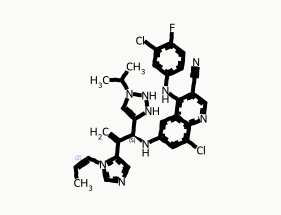 C=C(c1cncn1/C=C\C)[C@H](Nc1cc(Cl)c2ncc(C#N)c(Nc3ccc(F)c(Cl)c3)c2c1)C1=CN(C(C)C)NN1